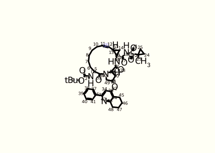 CC(C)(C)OC(=O)N[C@H]1CCCCC/C=C\[C@@H]2C[C@@]2(C(=O)NS(=O)(=O)C2(C)CC2)NC(=O)[C@@H]2C[C@@H](Oc3cc(-c4ccccc4)nc4c3CCCC4)CN2C1=O